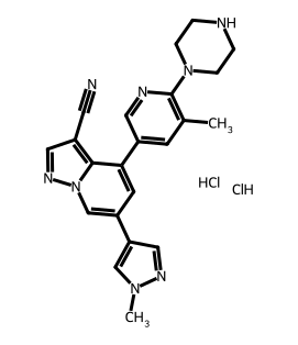 Cc1cc(-c2cc(-c3cnn(C)c3)cn3ncc(C#N)c23)cnc1N1CCNCC1.Cl.Cl